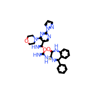 N=C(N[C@H]1N=C(c2ccccc2)c2ccccc2NC1=O)OC(=N)c1cnc(-n2cccn2)nc1N1CCOCC1